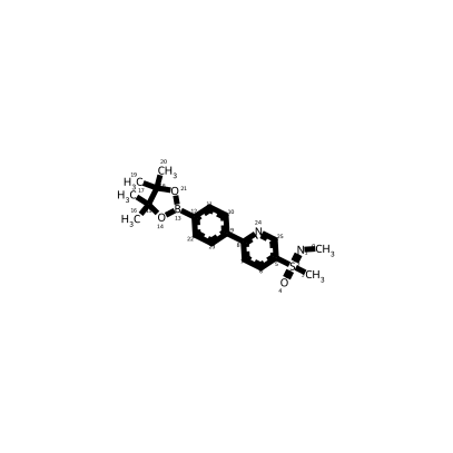 CN=S(C)(=O)c1ccc(-c2ccc(B3OC(C)(C)C(C)(C)O3)cc2)nc1